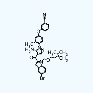 Cc1cc(Oc2cccc(C#N)c2)ccc1-n1ncc(C(=O)c2cc3cc(Br)ccc3n2COCCS(C)(C)C)c1N